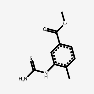 COC(=O)c1ccc(C)c(NC(N)=S)c1